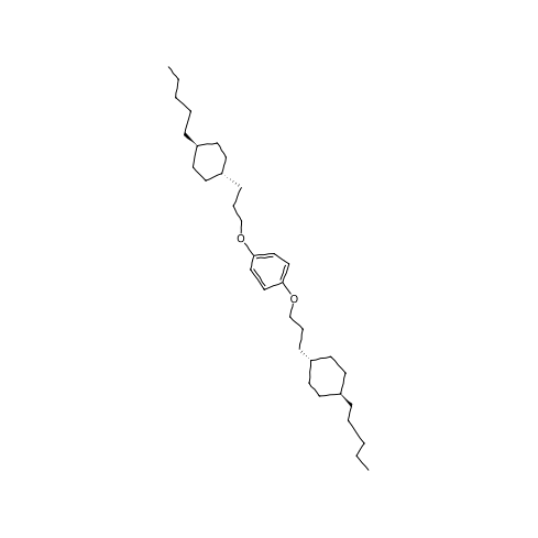 CCCCC[C@H]1CC[C@H](CCCOc2ccc(OCCC[C@H]3CC[C@H](CCCCC)CC3)cc2)CC1